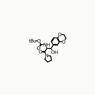 CC(C)(C)OC(=O)N[C@H](C(=O)N1CCCC1)[C@H](O)c1ccc2c(c1)OCCO2